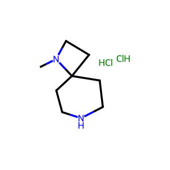 CN1CCC12CCNCC2.Cl.Cl